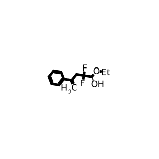 C=C(CC(F)(F)[C@@H](O)OCC)c1ccccc1